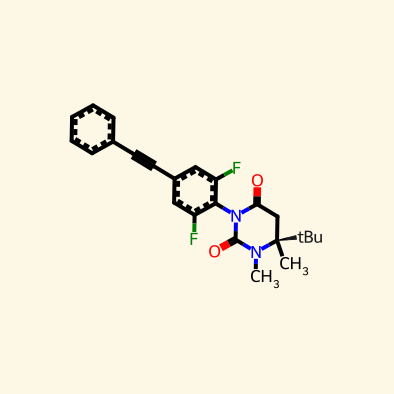 CN1C(=O)N(c2c(F)cc(C#Cc3ccccc3)cc2F)C(=O)C[C@@]1(C)C(C)(C)C